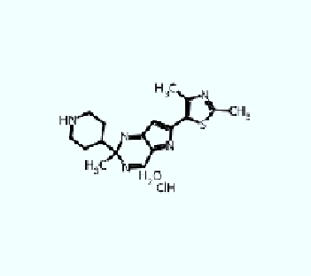 Cc1nc(C)c(C2=CC3=NC(C)(C4CCNCC4)N=CC3=N2)s1.Cl.O